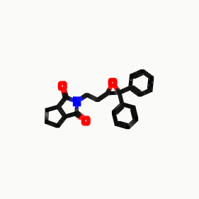 O=C1C2CCCC2C(=O)N1CCC1OC1(c1ccccc1)c1ccccc1